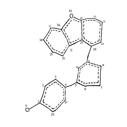 Clc1ccc(-c2cccc(-c3cccc4oc5ccccc5c34)c2)cc1